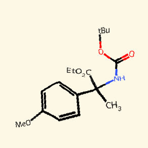 CCOC(=O)C(C)(NC(=O)OC(C)(C)C)c1ccc(OC)cc1